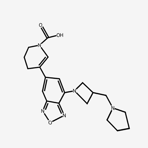 O=C(O)N1C=C(c2cc(N3CC(CN4CCCC4)C3)c3nonc3c2)CCC1